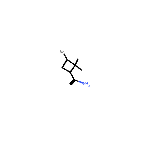 C=C(N)C1CC(C(C)=O)C1(C)C